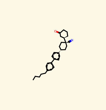 CCCCCc1ccc(-c2ccc([C@H]3CC[C@@](C#N)([C@@H]4CCCC(=O)C4)CC3)cc2)cc1